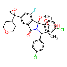 CO[C@]1(c2ccc(Cl)cc2)c2c(F)cc(C3(C4CCOCC4)CO3)cc2C(=O)N1[C@H](c1ccc(Cl)cc1)[C@H](C)C(=O)O